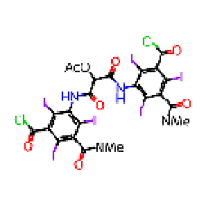 CNC(=O)c1c(I)c(NC(=O)C(OC(C)=O)C(=O)Nc2c(I)c(C(=O)Cl)c(I)c(C(=O)NC)c2I)c(I)c(C(=O)Cl)c1I